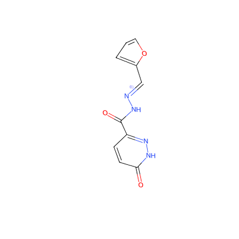 O=C(N/N=C/c1ccco1)c1ccc(=O)[nH]n1